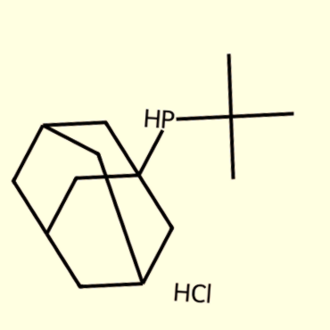 CC(C)(C)PC12CC3CC(CC(C3)C1)C2.Cl